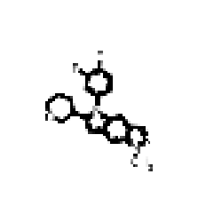 Cn1ncc2cc3c(cc(C4CCCOC4)n3-c3ccc(F)c(F)c3)cc21